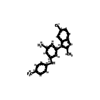 Cc1nc2ccc(Cl)cc2n1-c1nc(N)cc(Nc2ccc(C(F)(F)F)cc2)n1